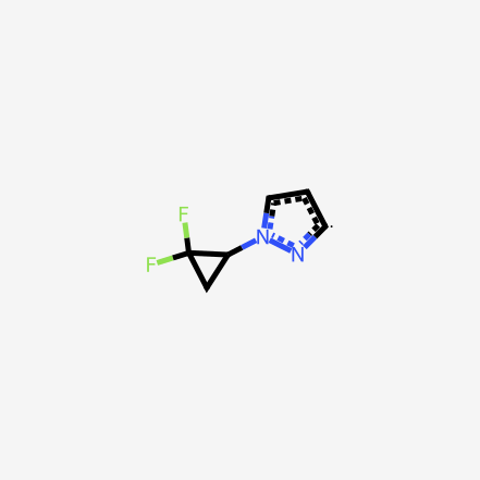 FC1(F)CC1n1cc[c]n1